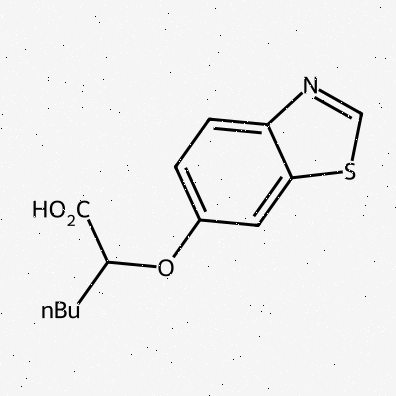 CCCCC(Oc1ccc2ncsc2c1)C(=O)O